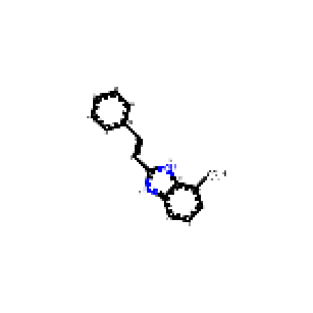 O=C(O)c1cccc2nc(C=Cc3ccccc3)[nH]c12